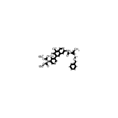 Cc1c(-c2cc3cc(NC(=O)[C@H]4C(C)[C@@H]4COCc4ccccc4)ncc3c(Cl)c2F)cncc1N(C(=O)OC(C)(C)C)C(=O)OC(C)(C)C